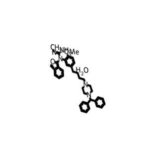 CN=C(N)N(c1cc(CCCCN2CCN(C(c3ccccc3)c3ccccc3)CC2)ccc1OC)c1occ2ccccc12.O